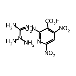 N=C(N)N(N)N.O=C(O)c1c([N+](=O)[O-])cc([N+](=O)[O-])nc1[N+](=O)[O-]